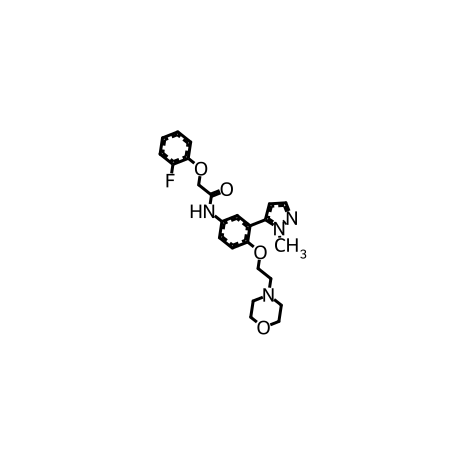 Cn1nccc1-c1cc(NC(=O)COc2ccccc2F)ccc1OCCN1CCOCC1